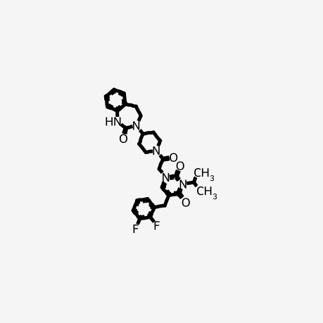 CC(C)n1c(=O)c(Cc2cccc(F)c2F)cn(CC(=O)N2CCC(N3CCc4ccccc4NC3=O)CC2)c1=O